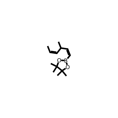 C/C=C\C(C)/C=C\B1OC(C)(C)C(C)(C)O1